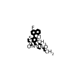 C=CC(=O)N1CCN(c2nc(=O)n3c4c(c(-c5ccc(F)c6ccccc56)c(Cl)cc24)SCC3)[C@@H](C)C1